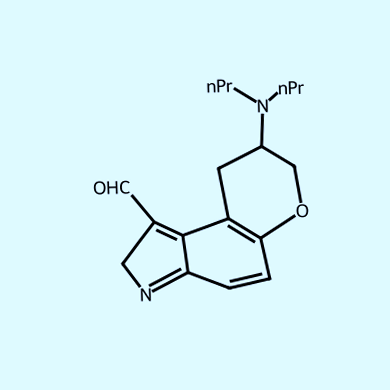 CCCN(CCC)C1COc2ccc3c(c2C1)=C(C=O)CN=3